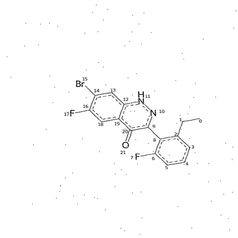 CCc1cccc(F)c1-c1n[nH]c2cc(Br)c(F)cc2c1=O